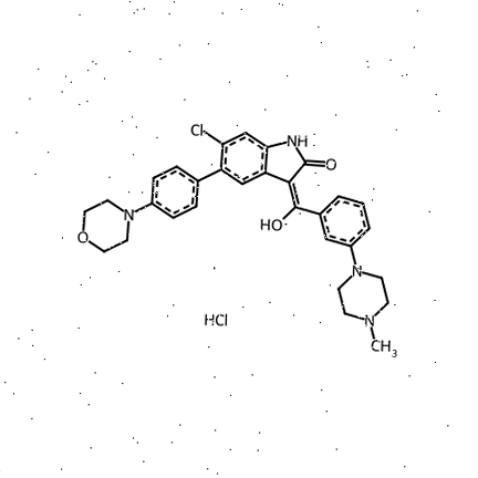 CN1CCN(c2cccc(C(O)=C3C(=O)Nc4cc(Cl)c(-c5ccc(N6CCOCC6)cc5)cc43)c2)CC1.Cl